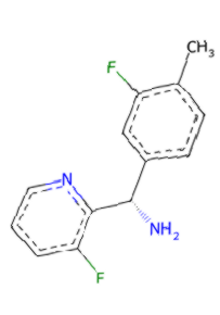 Cc1ccc([C@H](N)c2ncccc2F)cc1F